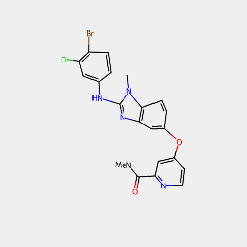 CNC(=O)c1cc(Oc2ccc3c(c2)nc(Nc2ccc(Br)c(Cl)c2)n3C)ccn1